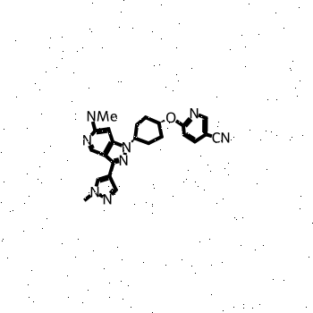 CNc1cc2c(cn1)c(-c1cnn(C)c1)nn2[C@H]1CC[C@@H](Oc2ccc(C#N)cn2)CC1